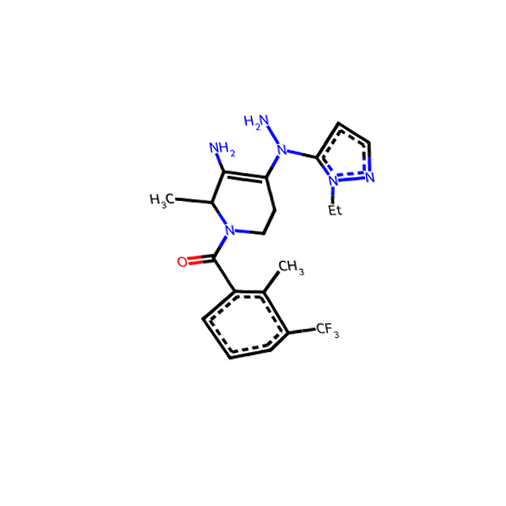 CCn1nccc1N(N)C1=C(N)C(C)N(C(=O)c2cccc(C(F)(F)F)c2C)CC1